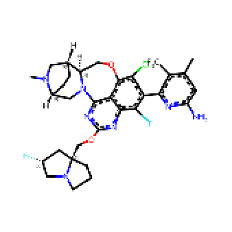 Cc1cc(N)nc(-c2c(Cl)c3c4c(nc(OC[C@@]56CCCN5C[C@H](F)C6)nc4c2F)N2C[C@H]4CC[C@H](CN4C)[C@H]2CO3)c1C(F)(F)F